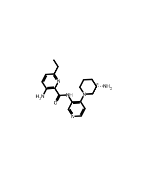 CCc1ccc(N)c(C(=O)Nc2cnccc2N2CCC[C@H](N)C2)n1